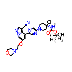 CC1(NC(=O)OC(C)(C)C)CCN(c2cnc(-c3cc(OCCN4CCOCC4)cn4ncc(C#N)c34)cn2)CC1